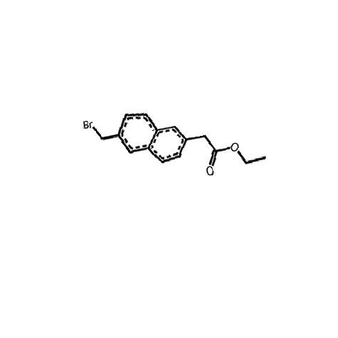 CCOC(=O)Cc1ccc2cc(CBr)ccc2c1